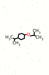 CC(C)COC1CCC(C(C)C)CC1